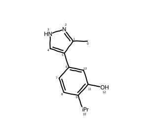 Cc1n[nH]cc1-c1ccc(C(C)C)c(O)c1